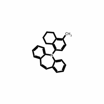 Cc1ccc(N2c3ccccc3C=Cc3ccccc32)c2c1CCCC2